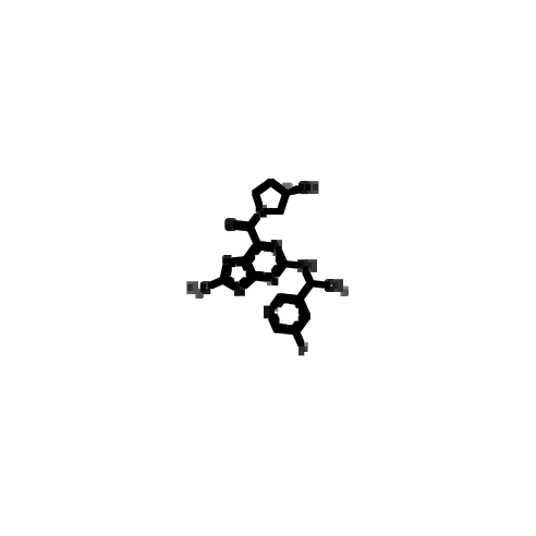 Cc1nc2nc(NC(C)c3cncc(F)c3)nc(C(=O)N3CC[C@@H](O)C3)c2s1